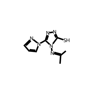 CC(C)=Nn1c(S)nnc1-n1cccn1